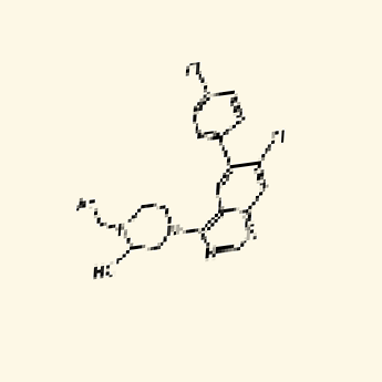 CC(=O)CN1CCN(c2ncnc3cc(Cl)c(-c4ccc(Cl)cc4)cc23)CC1C#N